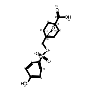 Cc1ccc(S(=O)(=O)OCC23CCC(C(=O)O)(CC2)OC3)cc1